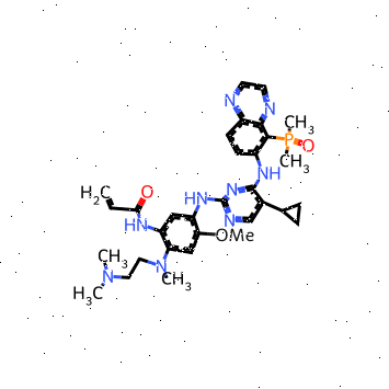 C=CC(=O)Nc1cc(Nc2ncc(C3CC3)c(Nc3ccc4nccnc4c3P(C)(C)=O)n2)c(OC)cc1N(C)CCN(C)C